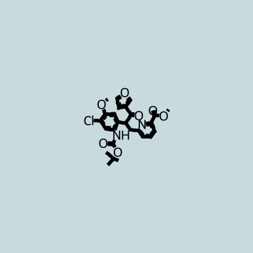 COC(=O)c1cccc(CC(C(=O)c2ccoc2)c2cc(OC)c(Cl)cc2NC(=O)OC(C)(C)C)n1